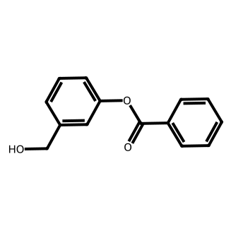 O=C(Oc1cccc(CO)c1)c1ccccc1